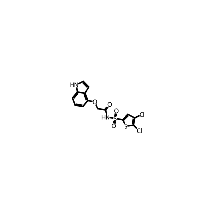 O=C(COc1cccc2[nH]ccc12)NS(=O)(=O)c1cc(Cl)c(Cl)s1